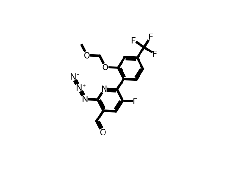 COCOc1cc(C(F)(F)F)ccc1-c1nc(N=[N+]=[N-])c(C=O)cc1F